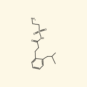 CC(C)Cc1ccccc1CCC(=O)NS(=O)(=O)CCN